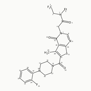 CCN(CC(F)(F)F)C(=O)Cn1cnc2sc(C(=O)N3CCN(c4ccccc4F)CC3)c(C)c2c1=O